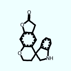 O=C1Cc2cc3c(cc2O1)OCCC31CNc2ccccc21